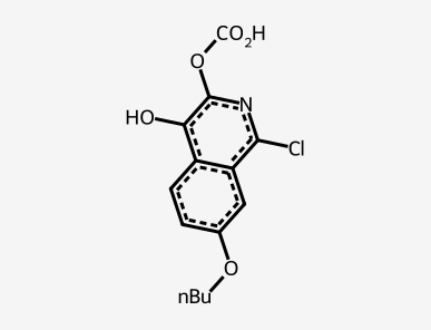 CCCCOc1ccc2c(O)c(OC(=O)O)nc(Cl)c2c1